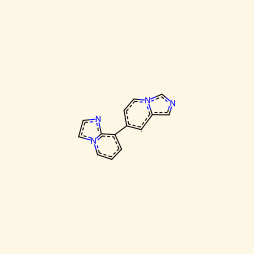 [c]1c(-c2cccn3ccnc23)ccn2cncc12